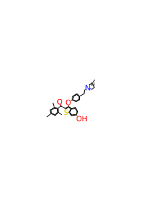 Cc1cc(C)c(C(=O)c2sc3cc(O)ccc3c2Oc2ccc(CCN3CC[C@H](C)C3)cc2)c(C)c1